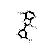 Cc1ncnc2c1nc(-c1cccc(O)c1)n2C